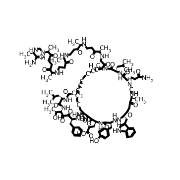 CC(=O)N[C@@H](CC(C)C)C(=O)N[C@H](C(=O)C(=O)[C@H](Cc1ccccc1)NN[C@]1(C)CCCCCCCCCCC[C@@](C)(C(=O)CN[C@@H](C)C(=O)CCN[C@@H](C)C(=O)CCN[C@@H](C)C(=O)CCN[C@@H](C)C(=O)CCC(=O)[C@H](C)NCN[C@H](C)C(N)=O)NC(=O)[C@H](CC(C)C)NC(=O)[C@H](CCC(N)=O)NCN[C@@H](C)C(=O)CC(=O)[C@H](Cc2c[nH]c3ccccc23)NN[C@@H](Cc2ccc(O)cc2)C(=O)N[C@@H](CCC(=O)O)C(=O)C1=O)[C@@H](C)O